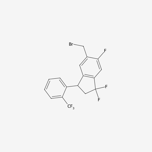 Fc1cc2c(cc1CBr)C(c1ccccc1C(F)(F)F)CC2(F)F